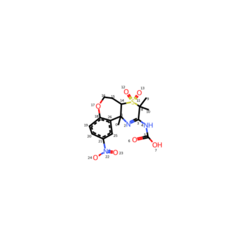 CC12N=C(NC(=O)O)C(C)(C)S(=O)(=O)C1CCOc1ccc([N+](=O)[O-])cc12